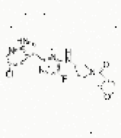 O=C(C1CCOC1)N1CCC(Nc2nc(-c3c[nH]c4ncc(Cl)cc34)ncc2F)C1